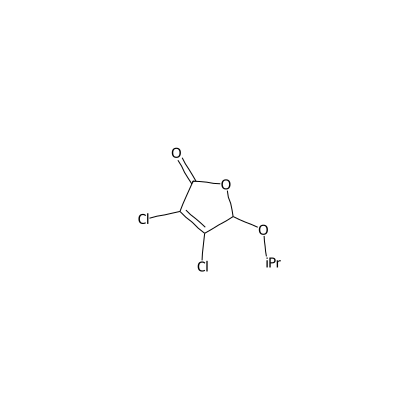 CC(C)OC1OC(=O)C(Cl)=C1Cl